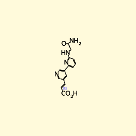 NC(=O)CNc1cccc(-c2cncc(/C=C/C(=O)O)c2)n1